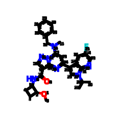 CO[C@H]1CCC1NC(=O)c1cnn2c(N(C)Cc3ccccc3)cc(-c3cn(C(C)C)c4ncc(F)cc34)nc12